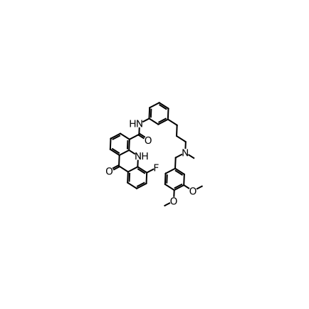 COc1ccc(CN(C)CCCc2cccc(NC(=O)c3cccc4c(=O)c5cccc(F)c5[nH]c34)c2)cc1OC